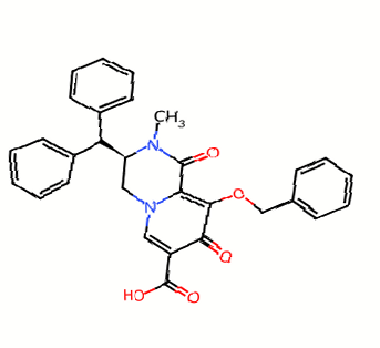 CN1C(=O)c2c(OCc3ccccc3)c(=O)c(C(=O)O)cn2C[C@H]1C(c1ccccc1)c1ccccc1